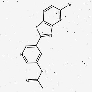 CC(=O)Nc1cncc(-c2nc3cc(Br)ccc3s2)c1